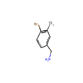 NCc1ccc(Br)c(C(F)(F)F)c1